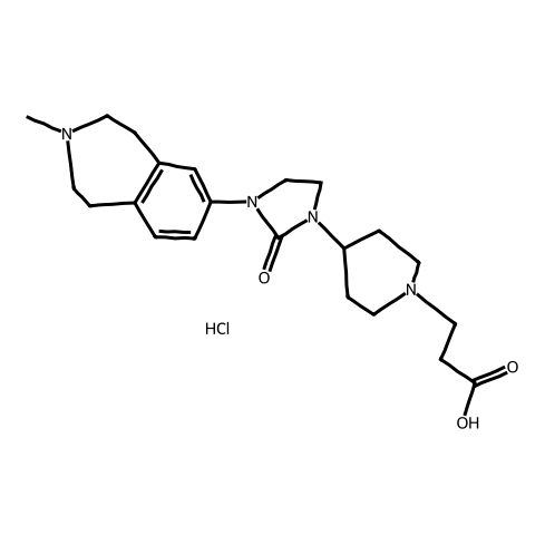 CN1CCc2ccc(N3CCN(C4CCN(CCC(=O)O)CC4)C3=O)cc2CC1.Cl